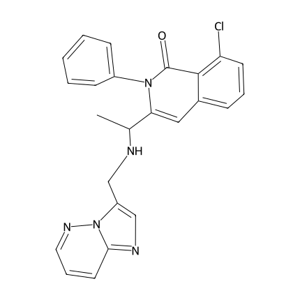 CC(NCc1cnc2cccnn12)c1cc2cccc(Cl)c2c(=O)n1-c1ccccc1